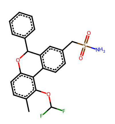 Cc1ccc2c(c1OC(F)F)-c1ccc(CS(N)(=O)=O)cc1C(c1ccccc1)O2